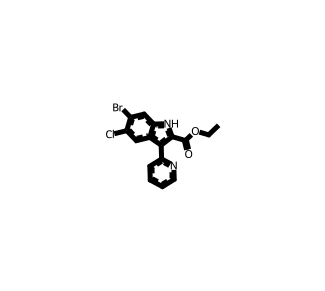 CCOC(=O)c1[nH]c2cc(Br)c(Cl)cc2c1-c1ccccn1